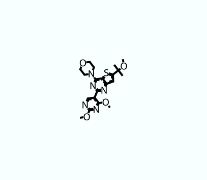 COc1ncc(-c2nc(N3CCOCC3)c3sc(C(C)(C)OC)cc3n2)c(OC)n1